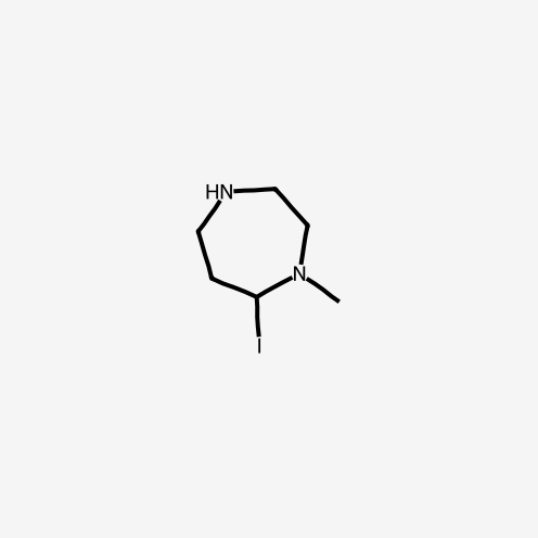 CN1CCNCCC1I